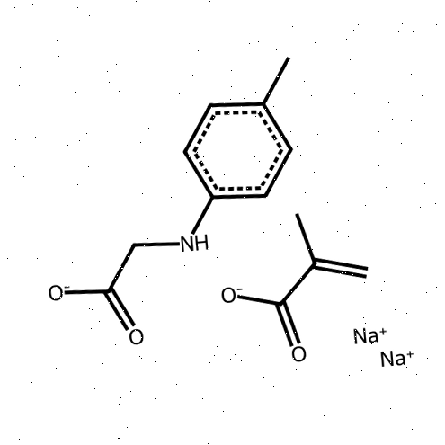 C=C(C)C(=O)[O-].Cc1ccc(NCC(=O)[O-])cc1.[Na+].[Na+]